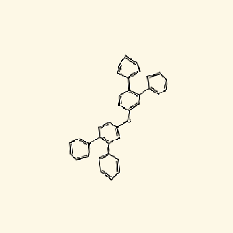 c1ccc(-c2ccc(Oc3ccc(-c4ccccc4)c(-c4ccccc4)c3)cc2-c2ccccc2)cc1